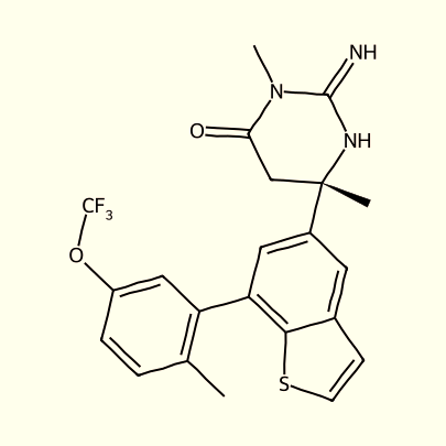 Cc1ccc(OC(F)(F)F)cc1-c1cc([C@]2(C)CC(=O)N(C)C(=N)N2)cc2ccsc12